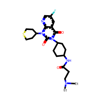 CCN(CC)CCC(=O)NC1CCC(n2c(=O)c3cc(F)cnc3n(C3CCSCC3)c2=O)CC1